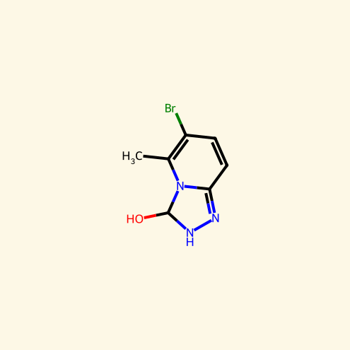 CC1=C(Br)C=CC2=NNC(O)N21